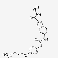 CCONC(=O)c1cc2cc(NC(=O)Cc3ccc(OCCCC(=O)O)cc3)ccc2s1